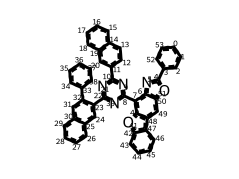 c1ccc(-c2nc3c(-c4nc(-c5ccc6ccccc6c5)nc(-c5cc6ccccc6cc5-c5ccccc5)n4)c4oc5ccccc5c4cc3o2)cc1